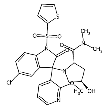 COc1ncccc1C1(N2C[C@H](O)C[C@H]2C(=O)N(C)C)C(=O)N(S(=O)(=O)c2cccs2)c2ccc(Cl)cc21